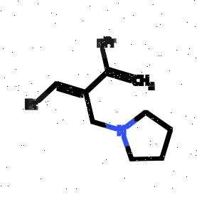 C=C(CCC)/C(=C/CC)CN1CCCC1